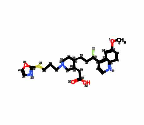 COc1ccc2nccc(C(F)CC[C@@H]3CCN(CCCSc4ncco4)C[C@@H]3CC(=O)O)c2c1